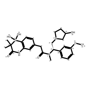 CN(C(=O)Cc1ccc2c(c1)NC(=O)C(C)(C)S2(O)O)[C@H](CN1CCC(O)C1)c1cccc(OC(F)(F)F)c1